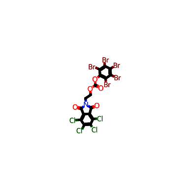 O=C(OCCN1C(=O)c2c(Cl)c(Cl)c(Cl)c(Cl)c2C1=O)Oc1c(Br)c(Br)c(Br)c(Br)c1Br